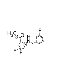 COC(=O)C1CC(F)(F)CN1NCc1cccc(F)c1